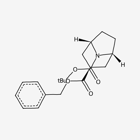 CC(C)(C)OC(=O)N1[C@@H]2CC[C@H]1C[C@H](C(=O)OCc1ccccc1)C2